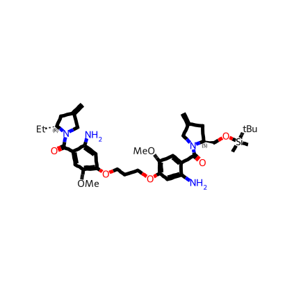 C=C1C[C@@H](CC)N(C(=O)c2cc(OC)c(OCCCOc3cc(N)c(C(=O)N4CC(=C)C[C@H]4CO[Si](C)(C)C(C)(C)C)cc3OC)cc2N)C1